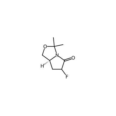 CC1(C)OC[C@@H]2CC(F)C(=O)N21